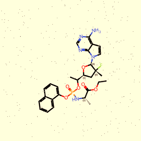 CCOC(=O)[C@H](C)NP(=O)(Oc1cccc2ccccc12)OC(C)[C@@H]1C[C@@](C)(F)[C@H](n2ccc3c(N)ncnc32)O1